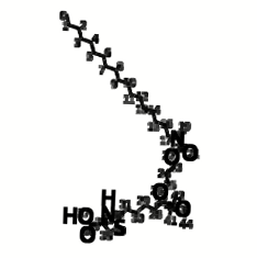 CCCCCCCCCCCCCCCCCCN(C)C(=O)OCCCOC(CCCCC1NC(C(=O)O)CS1)C(C)(C)OC